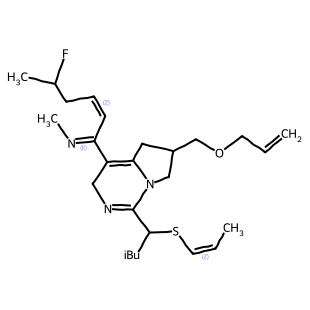 C=CCOCC1CC2=C(C(/C=C\CC(C)F)=N/C)CN=C(C(S/C=C\C)C(C)CC)N2C1